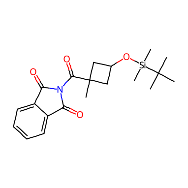 CC1(C(=O)N2C(=O)c3ccccc3C2=O)CC(O[Si](C)(C)C(C)(C)C)C1